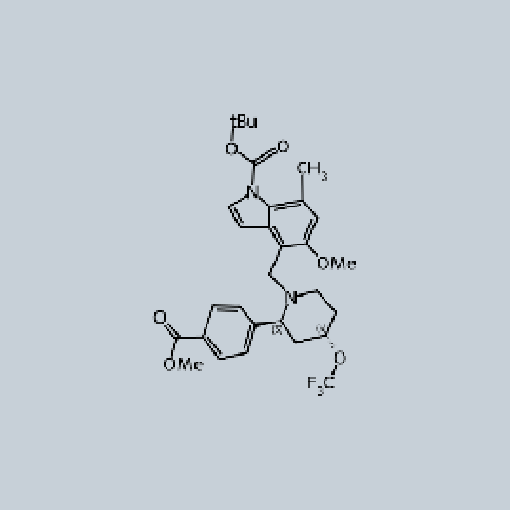 COC(=O)c1ccc([C@@H]2C[C@@H](OC(F)(F)F)CCN2Cc2c(OC)cc(C)c3c2ccn3C(=O)OC(C)(C)C)cc1